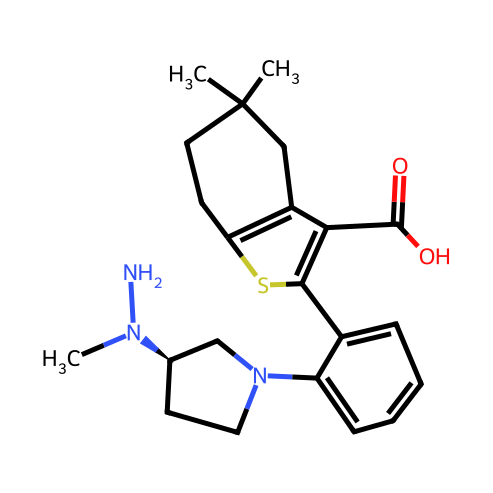 CN(N)[C@@H]1CCN(c2ccccc2-c2sc3c(c2C(=O)O)CC(C)(C)CC3)C1